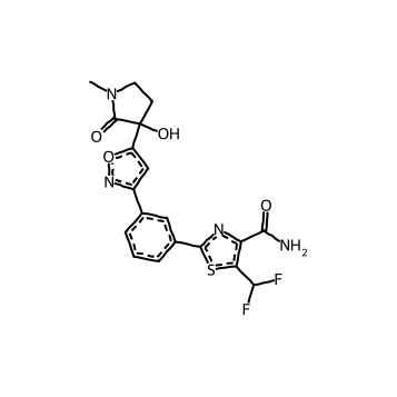 CN1CCC(O)(c2cc(-c3cccc(-c4nc(C(N)=O)c(C(F)F)s4)c3)no2)C1=O